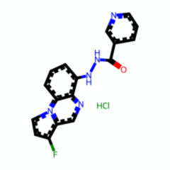 Cl.O=C(NNc1cccc2c1ncc1c(F)ccn12)c1cccnc1